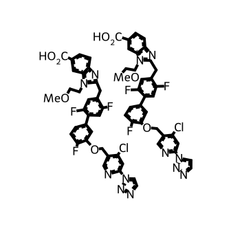 COCCn1c(Cc2cc(F)c(-c3ccc(F)c(OCc4cnc(-n5ccnn5)cc4Cl)c3)cc2F)nc2ccc(C(=O)O)cc21.COCCn1c(Cc2cc(F)c(-c3ccc(F)c(OCc4cnc(-n5ccnn5)cc4Cl)c3)cc2F)nc2ccc(C(=O)O)cc21